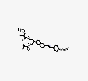 C=C(C)C(=O)OCC(CCOC(=O)C(=C)CO)c1ccc2c(c1)CCC(/C=C/C1CCC(CCCCC)CC1)C2